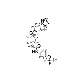 O=C(Nc1ccc(OC(F)(I)I)cc1)NC1CCC(Oc2ccc(-c3nnn[nH]3)cc2)CC1